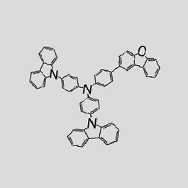 c1ccc2c(c1)oc1ccc(-c3ccc(N(c4ccc(-n5c6ccccc6c6ccccc65)cc4)c4ccc(-n5c6ccccc6c6ccccc65)cc4)cc3)cc12